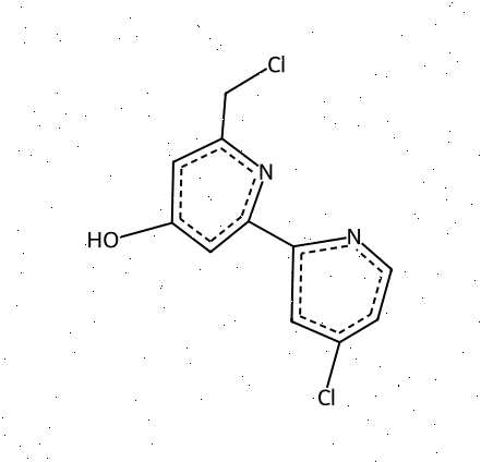 Oc1cc(CCl)nc(-c2cc(Cl)ccn2)c1